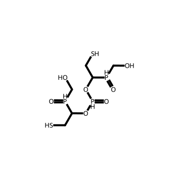 O=[PH](OC(CS)[PH](=O)CO)OC(CS)[PH](=O)CO